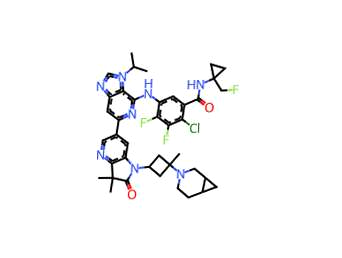 CC(C)n1cnc2cc(-c3cnc4c(c3)N(C3CC(C)(N5CCC6CC6C5)C3)C(=O)C4(C)C)nc(Nc3cc(C(=O)NC4(CF)CC4)c(Cl)c(F)c3F)c21